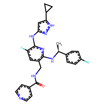 C[C@H](Nc1nc(Nc2cc(C3CC3)[nH]n2)c(F)cc1CNC(=O)c1ccncc1)c1ccc(F)cc1